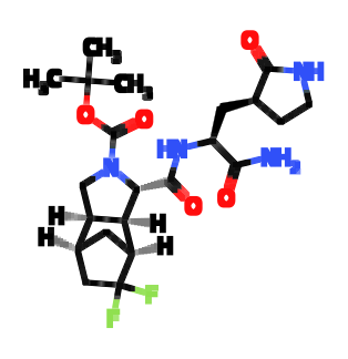 CC(C)(C)OC(=O)N1C[C@@H]2[C@H]3C[C@@H]([C@@H]2[C@H]1C(=O)N[C@@H](C[C@@H]1CCNC1=O)C(N)=O)C(F)(F)C3